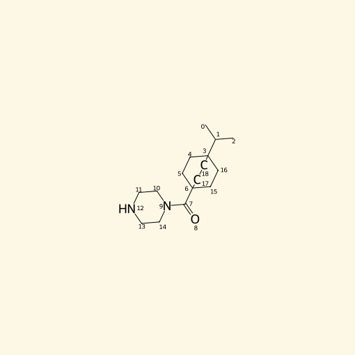 CC(C)C12CCC(C(=O)N3CCNCC3)(CC1)CC2